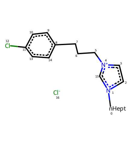 CCCCCCCn1cc[n+](CCCc2ccc(Cl)cc2)c1.[Cl-]